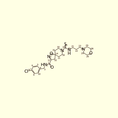 O=C(NCc1ccc(Cl)cc1)C1=NOC2(CCN(C(=S)NCCCN3CCOCC3)CC2)C1